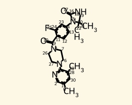 Cc1cnc(N2CCN(C(=O)c3ccc(N4C(=O)NCC4(C)C)cc3F)CC2)c(C)c1